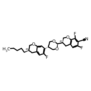 CCCCC[C@H]1COc2cc([C@H]3CO[C@H]([C@H]4COc5c(cc(F)c(C#N)c5F)C4)OC3)c(F)cc2C1